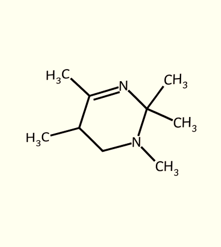 CC1=NC(C)(C)N(C)CC1C